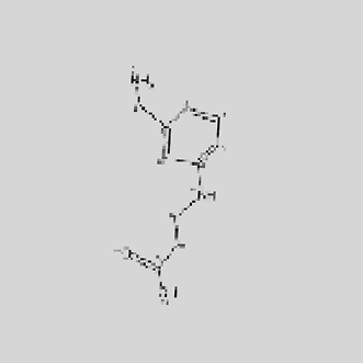 NCc1cccc(NCCC(=O)O)c1